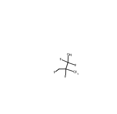 OC(F)(F)C(F)(CF)C(F)(F)F